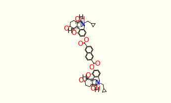 O=C(Oc1cc2c3c(c1)O[C@H]1C(=O)CC[C@@]4(O)[C@@H](C2)N(CC2CC2)CC[C@]314)c1ccc2cc(C(=O)Oc3ccc4c5c3O[C@H]3C(=O)CC[C@@]6(O)[C@@H](C4)N(CC4CC4)CC[C@]536)ccc2c1